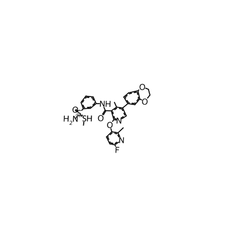 C[SH]=[S@](N)(=O)c1cccc(NC(=O)c2c(Oc3ccc(F)nc3C)ncc(-c3ccc4c(c3)OCCO4)c2C)c1